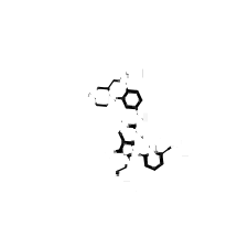 C=CCn1c(=O)c2cnc(Nc3ccc4c(c3)N3CCN(C)CC3CN4C)nc2n1-c1cccc(C(C)(C)O)n1